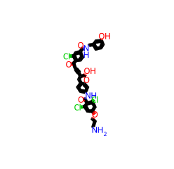 NCCCOC1C=C(Cl)C(C(=O)Nc2ccc(CC(C#CC(=O)c3ccc(C(=O)NCc4cccc(O)c4)cc3Cl)C(=O)O)cc2)=C(Cl)C1